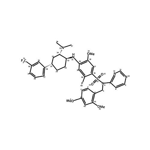 COc1ccc(CN(c2ccncn2)S(=O)(=O)c2cc(OC)c(N[C@H]3CC[C@H](c4cccc(C(F)(F)F)c4)C[C@@H]3N(C)C)cc2F)c(OC)c1